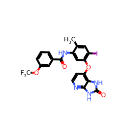 Cc1cc(I)c(Oc2ccnc3[nH]c(=O)[nH]c23)cc1NC(=O)c1cccc(OC(F)(F)F)c1